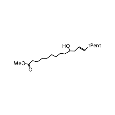 CCCCC/C=C/CC(O)CCCCCCCCC(=O)OC